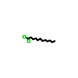 CCCCCCCCCCCC(Cl)Cl